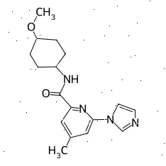 COC1CCC(NC(=O)c2cc(C)cc(-n3ccnc3)n2)CC1